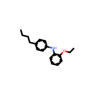 CCCCc1ccc(Nc2ccccc2OCC)cc1